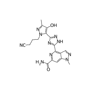 Cc1nn(CCCC#N)c(-c2n[nH]c(-c3nc(C(N)=O)cc4c3cnn4C)n2)c1O